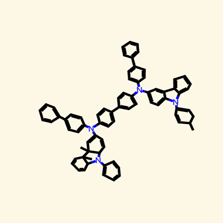 CC1C=CC(n2c3ccccc3c3cc(N(c4ccc(-c5ccccc5)cc4)c4ccc(-c5ccc(N(C6=CC7(C)C(C=C6)N(c6ccccc6)C6C=CC=CC67C)c6ccc(-c7ccccc7)cc6)cc5)cc4)ccc32)=CC1